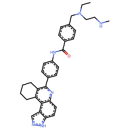 CCN(CCNC)Cc1ccc(C(=O)Nc2ccc(-c3nc4ccc5[nH]ncc5c4c4c3CCCC4)cc2)cc1